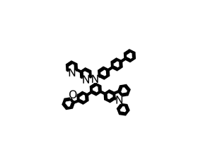 c1ccc(-c2ccc(-c3ccc(N(c4cc(-c5ccc6c(c5)oc5ccccc56)cc(-c5ccc6c(c5)c5ccccc5n6-c5ccccc5)c4)c4ccc(-c5ccccn5)cn4)cc3)cc2)cc1